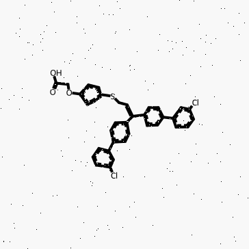 O=C(O)COc1ccc(SCC=C(c2ccc(-c3cccc(Cl)c3)cc2)c2ccc(-c3cccc(Cl)c3)cc2)cc1